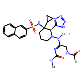 CCNC(=O)N=C(CNC(=O)CC)N(C(=O)O)N1CCC[C@](NS(=O)(=O)c2ccc3ccccc3c2)(C2CC2)[C@H]1c1nnn[nH]1